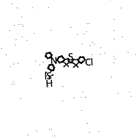 CC1(C)c2cc(Cl)ccc2-c2sc3c(c21)C(C)(C)c1cc(N(c2ccccc2)c2ccc([SH](C)(C)(C)I)cc2)ccc1-3